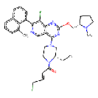 Cc1cccc2cccc(-c3ncc4c(N5CCN(C(=O)/C=C/CF)[C@@H](CC#N)C5)nc(OC[C@@H]5CCCN5C)nc4c3F)c12